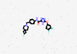 O=C(Nc1ccc(CN2CCC3(CC2)CC(F)C3)cc1)c1nnc(Oc2ccc(F)c(F)c2)[nH]1